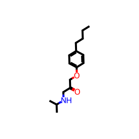 CCCCc1ccc(OCC(=O)CNC(C)C)cc1